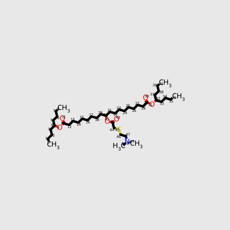 CCCCC(CCCC)OC(=O)CCCCCCCCC(CCCCCCCCC(=O)OC(CCCC)CCCC)OC(=O)CSCCN(C)C